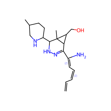 C=C/C=C\C=C(/N)C1=NNC(C2CCC(C)CN2)C2(C)C(CO)C12